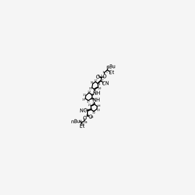 CCCCC(CC)COC(=O)/C(C#N)=C1/C=C(NC2CCCCC2NC2=C/C(=C(\C#N)C(=O)OCC(CC)CCCC)CCC2)CCC1